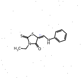 CCN1C(=O)/C(=C\Nc2ccccc2)SC1=S